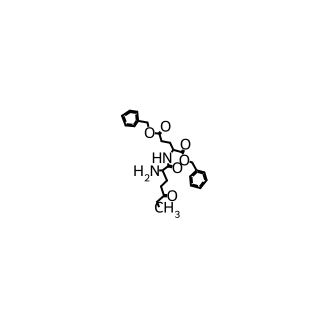 CCC(=O)CCC(N)C(=O)NC(CCC(=O)OCc1ccccc1)C(=O)OCc1ccccc1